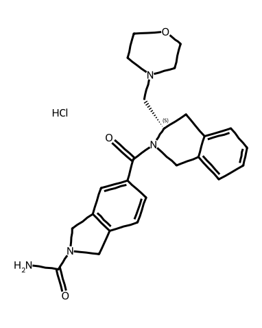 Cl.NC(=O)N1Cc2ccc(C(=O)N3Cc4ccccc4C[C@H]3CN3CCOCC3)cc2C1